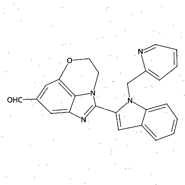 O=Cc1cc2c3c(c1)nc(-c1cc4ccccc4n1Cc1ccccn1)n3CCO2